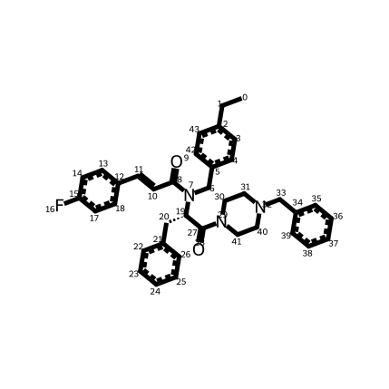 CCc1ccc(CN(C(=O)/C=C/c2ccc(F)cc2)[C@@H](Cc2ccccc2)C(=O)N2CCN(Cc3ccccc3)CC2)cc1